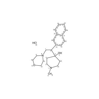 CN1CCC(O)(C(CN2CCOCC2)c2ccc3ccccc3c2)CC1.Cl